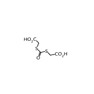 O=C(O)CSC(=O)SCC(=O)O